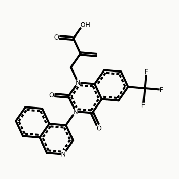 C=C(Cn1c(=O)n(-c2cncc3ccccc23)c(=O)c2cc(C(F)(F)F)ccc21)C(=O)O